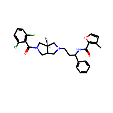 Cc1ccoc1C(=O)NC(CCN1CC2CN(C(=O)c3c(F)cccc3Cl)C[C@@H]2C1)c1ccccc1